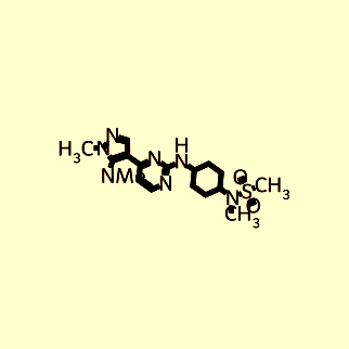 CNc1c(-c2ccnc(NC3CCC(N(C)S(C)(=O)=O)CC3)n2)cnn1C